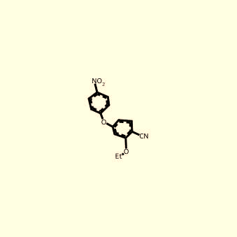 CCOc1cc(Oc2ccc([N+](=O)[O-])cc2)ccc1C#N